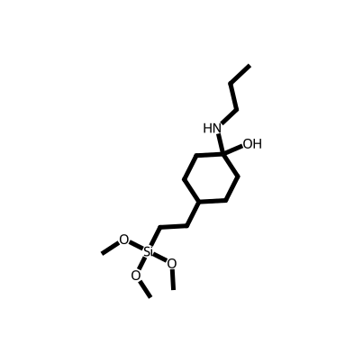 CCCNC1(O)CCC(CC[Si](OC)(OC)OC)CC1